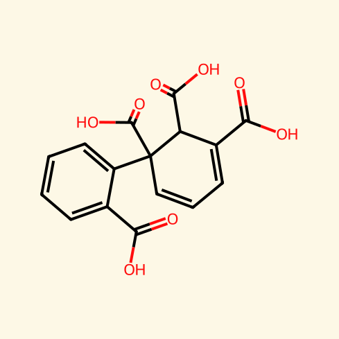 O=C(O)C1=CC=CC(C(=O)O)(c2ccccc2C(=O)O)C1C(=O)O